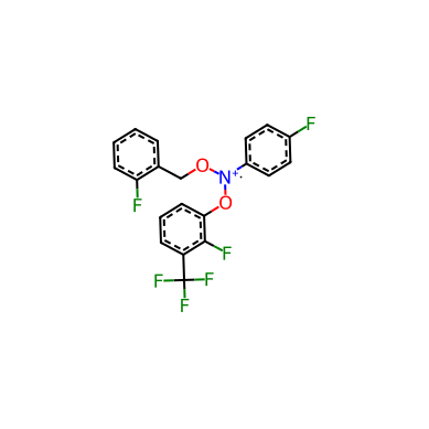 Fc1ccc([N+](OCc2ccccc2F)Oc2cccc(C(F)(F)F)c2F)cc1